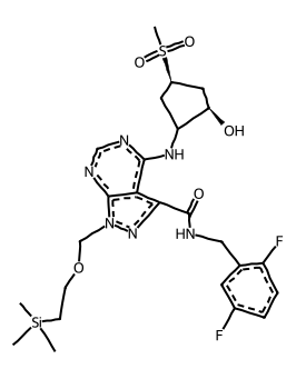 C[Si](C)(C)CCOCn1nc(C(=O)NCc2cc(F)ccc2F)c2c(NC3C[C@@H](S(C)(=O)=O)C[C@H]3O)ncnc21